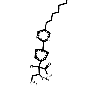 CCCCCCCc1cnc(-c2ccc(C(Cl)(C(=O)O)C(C)CC)cc2)nc1